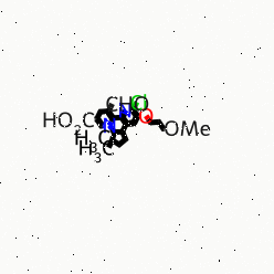 COCCCOc1cc2c(nc1Cl)C1=C(C=O)CC(C(=O)O)=CN1C1C2CCC1(C)C